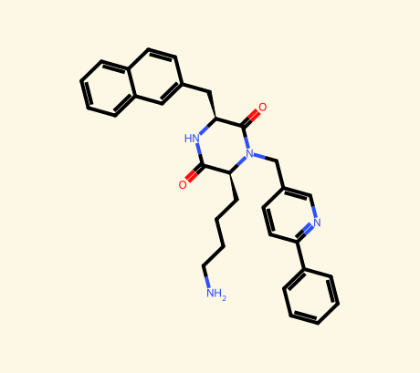 NCCCC[C@H]1C(=O)N[C@@H](Cc2ccc3ccccc3c2)C(=O)N1Cc1ccc(-c2ccccc2)nc1